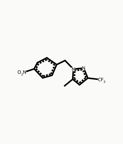 Cc1cc(C(F)(F)F)nn1Cc1ccc([N+](=O)[O-])cc1